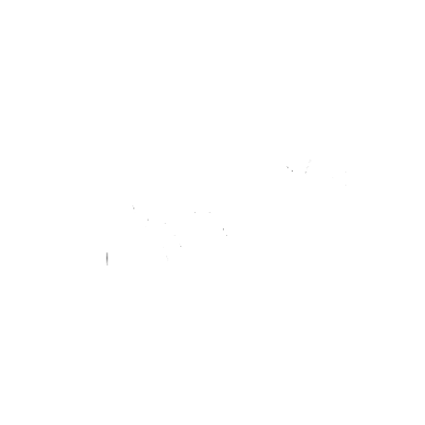 C[C@@H]1CC(C(=O)O)OC2[C@H]1C1(C)CCC34CC35CCC(OC3CN(C(=O)CC6CC6)CCO3)C(C)(C)[C@@H]5CCC4[C@]1(C)[C@H]2O